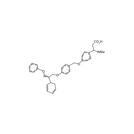 CNC(CC(=O)O)c1ccc(OCc2ccc(OC/C(=N\Oc3ccccc3)C3C=CC=CC3)cc2)cc1